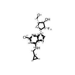 [O]C[C@H]1O[C@@H](n2cnc3c(NCC4CC4)nc(Cl)nc32)[C@@H](F)[C@@H]1O